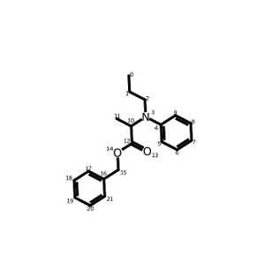 CCCN(c1ccccc1)C(C)C(=O)OCc1ccccc1